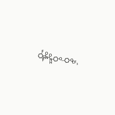 O=C(NC(=O)c1c(F)cccc1F)Nc1ccc(OCc2ccc(OC(F)(F)F)cc2)cc1